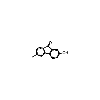 Cc1ccc2c(c1)-c1ccc(O)cc1C2=O